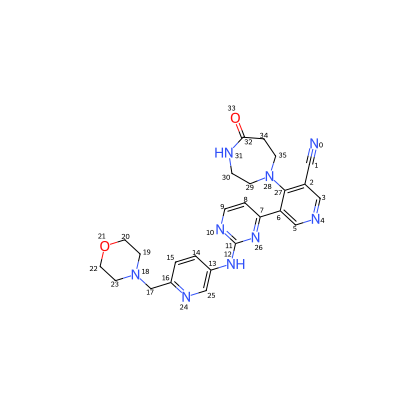 N#Cc1cncc(-c2ccnc(Nc3ccc(CN4CCOCC4)nc3)n2)c1N1CCNC(=O)CC1